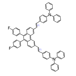 Fc1ccc(-c2c(-c3ccc(F)cc3)c3ccc(/C=C/c4ccc(N(c5ccccc5)c5ccccc5)cc4)cc3c3cc(/C=C/c4ccc(N(c5ccccc5)c5ccccc5)cc4)ccc23)cc1